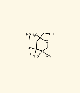 CC1(CO)OCC(C)(O)C(C)(O)[C@@H]1CO